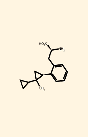 CC1(C2CC2)C[C@H]1c1ccccc1C[C@H](N)C(=O)O